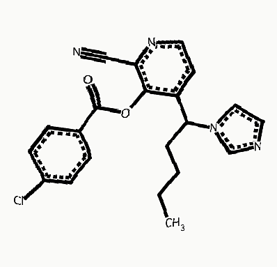 CCCCC(c1ccnc(C#N)c1OC(=O)c1ccc(Cl)cc1)n1ccnc1